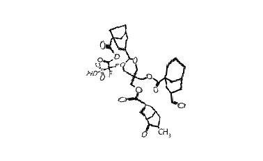 CC1CC2CC(C(=O)OCC3(COC(=O)C45CCCC(CC(C=O)C4)C5)COC(C4CC5CCCC(C(=O)OC(=O)C(F)(F)S(=O)(=O)O)(C5)C4)OC3)CC(C2)C1=O